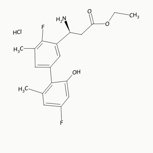 CCOC(=O)C[C@H](N)c1cc(-c2c(C)cc(F)cc2O)cc(C)c1F.Cl